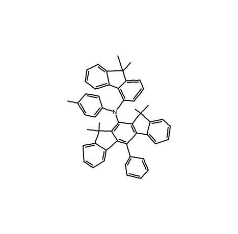 Cc1ccc(N(c2cccc3c2-c2ccccc2C3(C)C)c2c3c(c(-c4ccccc4)c4c2C(C)(C)c2ccccc2-4)-c2ccccc2C3(C)C)cc1